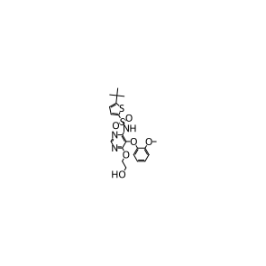 COc1ccccc1Oc1c(NS(=O)(=O)c2ccc(C(C)(C)C)s2)ncnc1OCCO